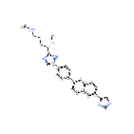 CC(C)C[C@@H](CCCNC=O)c1ncc(-c2ccc(-c3ccc4cc(-c5cnc[nH]5)ccc4c3)cc2)[nH]1